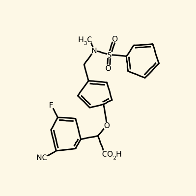 CN(Cc1ccc(OC(C(=O)O)c2cc(F)cc(C#N)c2)cc1)S(=O)(=O)c1ccccc1